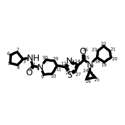 O=C(NC1CCCC1)N1CCC(c2nc(C(=O)N(C3CCCCC3)C3CC3)cs2)CC1